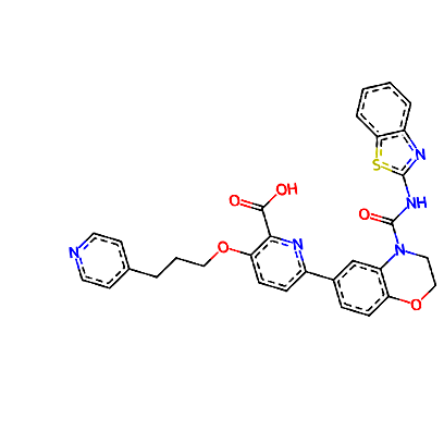 O=C(O)c1nc(-c2ccc3c(c2)N(C(=O)Nc2nc4ccccc4s2)CCO3)ccc1OCCCc1ccncc1